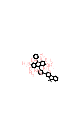 Bc1c(B)c(B)c2c(-c3cccc(-c4ccc5c(c4)C(C)(C)c4ccccc4-5)c3)c3c(B)c(B)c(B)c(B)c3c(-c3ccccc3)c2c1B